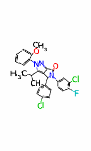 COc1ccccc1-n1nc2c(c1C(C)C)C(c1ccc(Cl)cc1)N(c1ccc(F)c(Cl)c1)C2=O